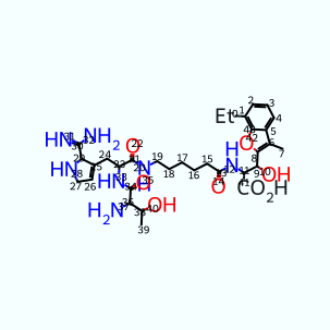 CCc1cccc2c(C)c(C(O)C(NC(=O)CCCCCNC(=O)C(CC3=CCNC3C(=N)N)NC(=O)C(N)C(C)O)C(=O)O)oc12